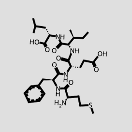 CC[C@H](C)[C@H](NC(=O)[C@H](CCC(=O)O)NC(=O)[C@H](Cc1ccccc1)NC(=O)[C@@H](N)CCSC)C(=O)N[C@@H](CC(C)C)C(=O)O